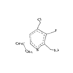 O=CO.[Li][c]1nccc(Cl)c1F